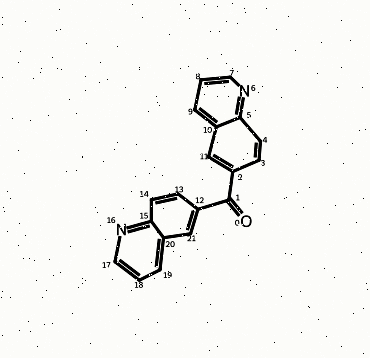 O=C(c1ccc2ncccc2c1)c1ccc2ncccc2c1